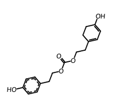 O=C(OCCC1=CC=C(O)CC1)OCCc1ccc(O)cc1